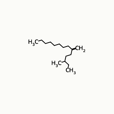 C=C(CCCCCCCC)CCC(C)CC